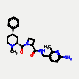 Cc1nc(N)ccc1CNC(=O)[C@@H]1CCN1C(=O)[C@H]1C[C@@H](c2ccccc2)CCN1C